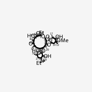 CC[C@H]1OC(=O)[C@H](C)[C@@H](O[C@H]2C[C@@](C)(OC)[C@@H](O)[C@H](C)O2)[C@H](C)[C@@H](O[C@@H]2O[C@H](C)C[C@H](N(C)CC)[C@H]2O)[C@](C)(O)C[C@@H](C)C(=O)[C@H](C)[C@@H](O)[C@]1(C)O